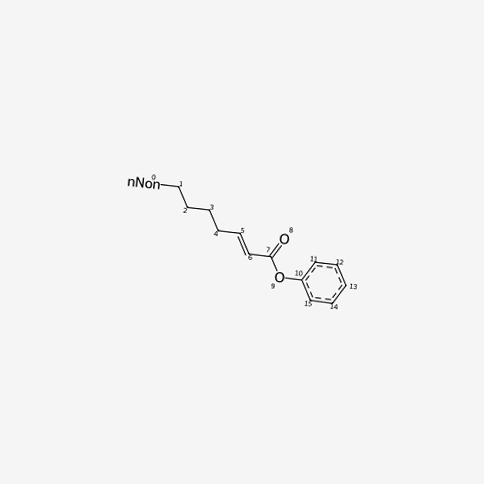 CCCCCCCCCCCCCC=CC(=O)Oc1ccccc1